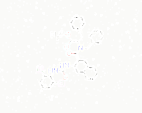 COC(=O)C(Cc1ccccc1)N(Cc1ccccc1)C(=O)c1cc2ccccc2cc1NC(=O)Nc1c(Cl)cccc1Cl